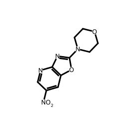 O=[N+]([O-])c1cnc2nc(N3CCOCC3)oc2c1